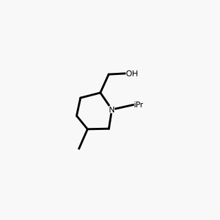 CC1CCC(CO)N(C(C)C)C1